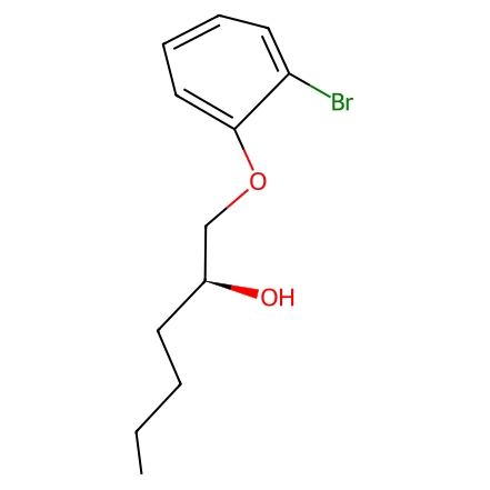 CCCC[C@H](O)COc1ccccc1Br